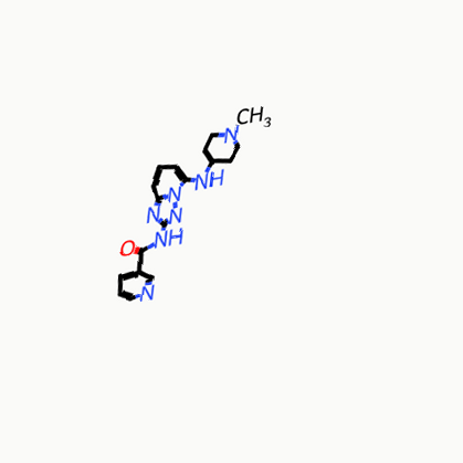 CN1CCC(Nc2cccc3nc(NC(=O)c4cccnc4)nn23)CC1